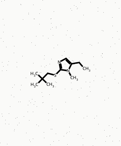 CCc1cnc(SCC(C)(C)C)n1C